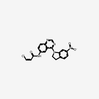 O=C(/C=C\Cl)Nc1ccc2ncnc(N3CCc4ccc([N+](=O)[O-])cc43)c2c1